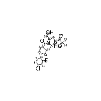 O=C(c1ccc(-c2ccc(Cl)cc2F)cc1)N1CCN(C(=O)C2(O)CC2)C[C@@H]1CO